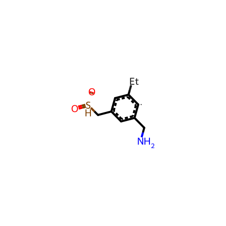 CCc1[c]c(CN)cc(C[SH](=O)=O)c1